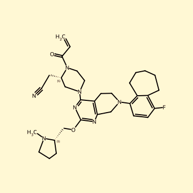 C=CC(=O)N1CCN(c2nc(OC[C@@H]3CCCN3C)nc3c2CCN(c2ccc(F)c4c2CCCCC4)C3)C[C@@H]1CC#N